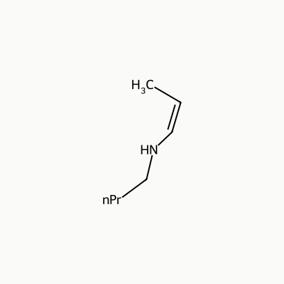 C/C=C\NCCCC